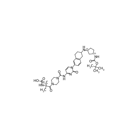 CC(C)(C)OC(=O)N[C@H]1CC[C@H](NC2CCc3cc(-n4ccc(NC(=O)N5CCN(C(=O)C(C)(C)NC(=O)O)CC5)nc4=O)ccc3C2)C1